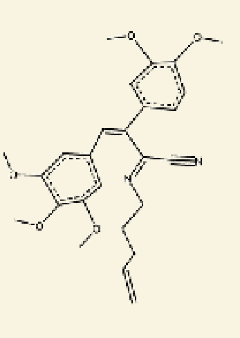 C=CCCCN=C(C#N)C(=Cc1cc(OC)c(OC)c(OC)c1)c1ccc(OC)c(OC)c1